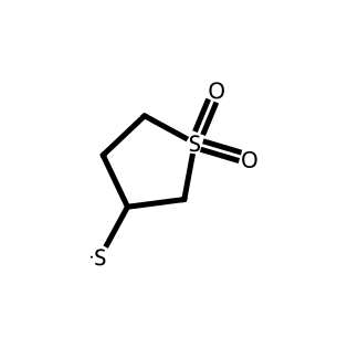 O=S1(=O)CCC([S])C1